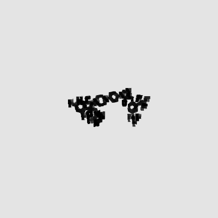 C[C@@H](N1CCN(c2ccc(-n3cnn(Cc4ccc(C(F)(F)F)cc4C(F)(F)F)c3=O)cc2)CC1)[C@](O)(Cn1cncn1)c1ccc(F)cc1F